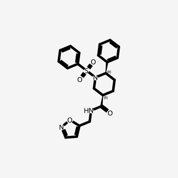 O=C(NCc1ccno1)[C@@H]1CC[C@H](c2ccccc2)N(S(=O)(=O)c2ccccc2)C1